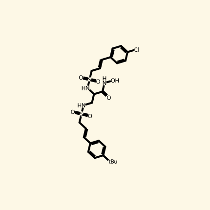 CC(C)(C)c1ccc(C=CCS(=O)(=O)NCC(NS(=O)(=O)CC=Cc2ccc(Cl)cc2)C(=O)NO)cc1